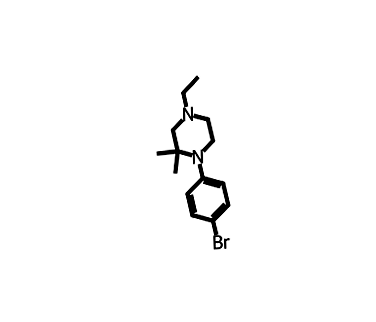 CCN1CCN(c2ccc(Br)cc2)C(C)(C)C1